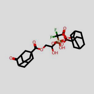 O=C1C2CC3CC1CC(C(=O)OCC(O)COC(=O)C14CC5CC(C1)C(OC(=O)C(F)(F)S(=O)(=O)O)C(C5)C4)(C3)C2